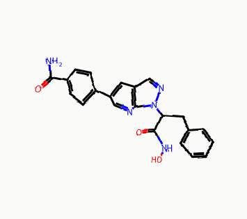 NC(=O)c1ccc(-c2cnc3c(cnn3C(Cc3ccccc3)C(=O)NO)c2)cc1